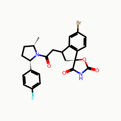 C[C@H]1CC[C@@H](c2ccc(F)cc2)N1C(=O)CC1C[C@@]2(OC(=O)NC2=O)c2ccc(Br)cc21